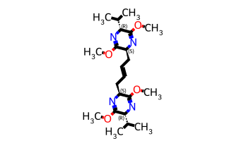 COC1=N[C@H](C(C)C)C(OC)=N[C@H]1CC=CC[C@@H]1N=C(OC)[C@@H](C(C)C)N=C1OC